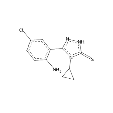 Nc1ccc(Cl)cc1-c1n[nH]c(=S)n1C1CC1